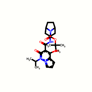 CC(C)n1c(=O)c(C(=O)NC2CC3CCC(C2)N3C(=O)OC(C)(C)C)c(O)c2cccn21